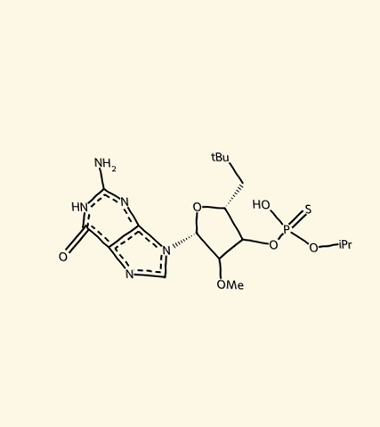 COC1C(OP(O)(=S)OC(C)C)[C@@H](CC(C)(C)C)O[C@H]1n1cnc2c(=O)[nH]c(N)nc21